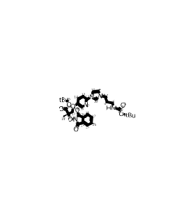 CC(C)(C)OC(=O)NCCC[n+]1ccn(-c2ccc(OC[C@](C)(ON3C(=O)c4ccccc4C3=O)C(=O)OC(C)(C)C)cn2)c1